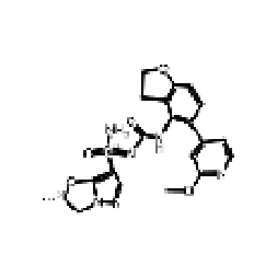 COc1cc(-c2ccc3c(c2NC(=O)N=[S@@](N)(=O)c2cnn4c2O[C@@H](C)C4)CCO3)ccn1